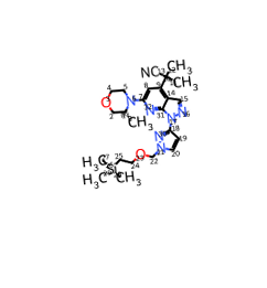 C[C@@H]1COCCN1c1cc(C(C)(C)C#N)c2cnn(-c3ccn(COCC[Si](C)(C)C)n3)c2n1